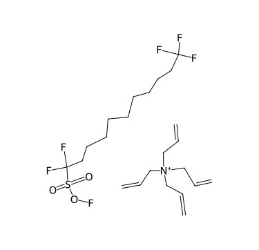 C=CC[N+](CC=C)(CC=C)CC=C.O=S(=O)(OF)C(F)(F)CCCCCCCCCC(F)(F)F